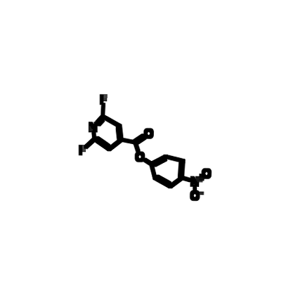 O=C(Oc1ccc([N+](=O)[O-])cc1)c1cc(F)nc(F)c1